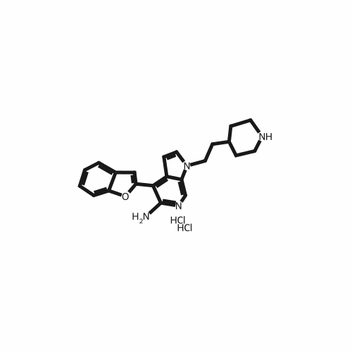 Cl.Cl.Nc1ncc2c(ccn2CCC2CCNCC2)c1-c1cc2ccccc2o1